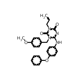 C=CCn1c(=O)nc(Nc2ccc(Oc3ccccc3)cc2)n(Cc2ccc(OC)cc2)c1=O